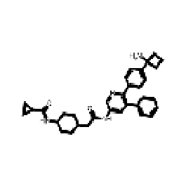 NC1(c2ccc(-c3ncc(NC(=O)CC4CCC(NC(=O)C5CC5)CC4)cc3-c3ccccc3)cc2)CCC1